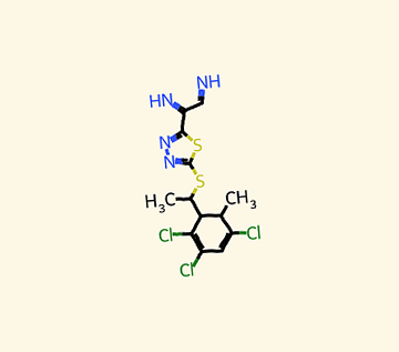 CC(Sc1nnc(C(=N)C=N)s1)C1C(Cl)=C(Cl)C=C(Cl)C1C